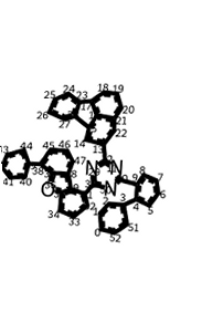 c1ccc(-c2ccccc2-c2nc(-c3cc4c5c(cccc5c3)-c3ccccc3-4)nc(-c3cccc4oc5c(-c6ccccc6)cccc5c34)n2)cc1